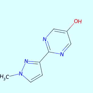 Cn1ccc(-c2ncc(O)cn2)n1